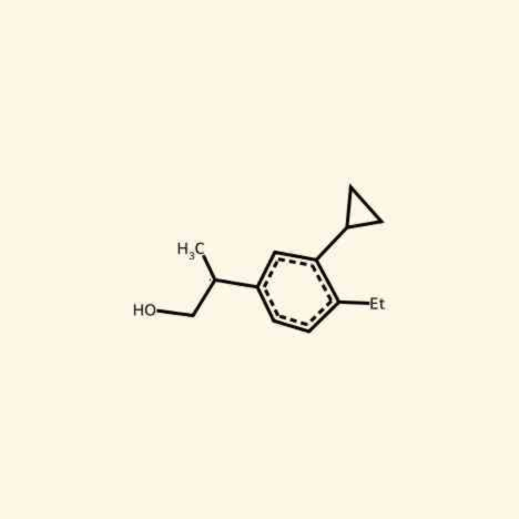 CCc1ccc([C](C)CO)cc1C1CC1